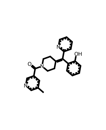 Cc1cncc(C(=O)N2CCC(=C(c3ccccn3)c3ccccc3O)CC2)c1